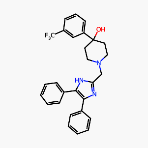 OC1(c2cccc(C(F)(F)F)c2)CCN(Cc2nc(-c3ccccc3)c(-c3ccccc3)[nH]2)CC1